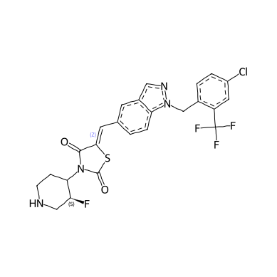 O=C1S/C(=C\c2ccc3c(cnn3Cc3ccc(Cl)cc3C(F)(F)F)c2)C(=O)N1C1CCNC[C@@H]1F